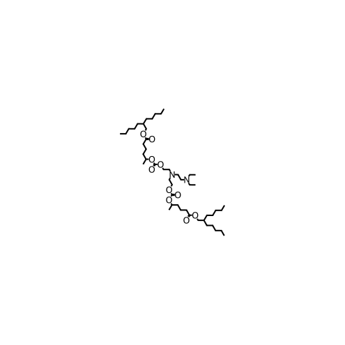 CCCCCC(CCCCC)COC(=O)CCCC(C)OC(=O)OCCN(CCOC(=O)OC(C)CCCC(=O)OCC(CCCCC)CCCCC)CCN(CC)CC